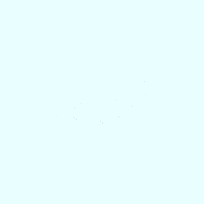 Oc1c(CN2CCCC2)ncc2c1COC2(c1ccccc1)C1CCCCC1